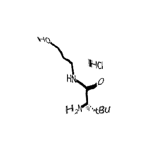 CC(C)(C)[C@H](N)C(=O)NCCCO.Cl